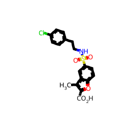 Cc1c(C(=O)O)oc2ccc(S(=O)(=O)NCCc3ccc(Cl)cc3)cc12